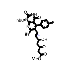 CCCCn1c(=O)[nH]c(=O)c2c(-c3ccc(F)cc3)c(/C=C/C(O)CC(=O)CC(=O)OC)c(C(C)C)nc21